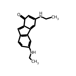 CCNC1=CC(=O)C2=Cc3ccc(NCC)cc3C2=C1